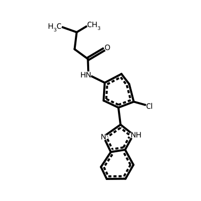 CC(C)CC(=O)Nc1ccc(Cl)c(-c2nc3ccccc3[nH]2)c1